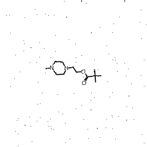 CN1CCN(CCOC(=O)C(C)(C)C)CC1